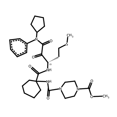 COC(=O)N1CCN(C(=O)NC2(C(=O)N[C@@H](CCSC)C(=O)C(=O)N(c3ccccc3)C3CCCC3)CCCCC2)CC1